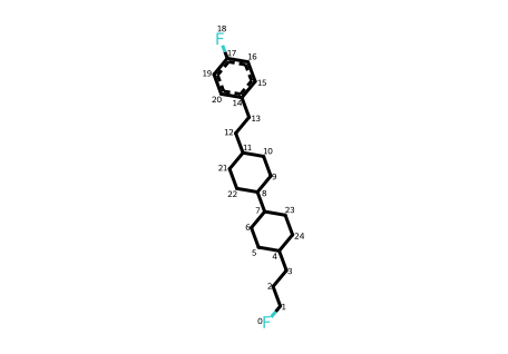 FCCCC1CCC(C2CCC(CCc3ccc(F)cc3)CC2)CC1